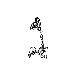 Cc1ncsc1-c1ccc([C@H](CN)NC(=O)[C@@H]2C[C@@H](O)CN2C(=O)[C@@H](NC(=O)COCCOCCOCCOc2cc(F)c([C@@H]3c4[nH]c5ccccc5c4C[C@@H](C)N3CC(C)(C)F)c(F)c2)C(C)(C)C)cc1